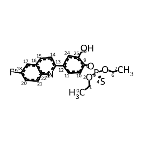 CCOP(=S)(OCC)Oc1ccc(-c2ccc3cc(F)ccc3n2)cc1O